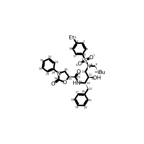 CCc1ccc(S(=O)(=O)N(C[C@@H](C)CC)C[C@@H](O)[C@H](Cc2ccccc2)NC(=O)[C@@H]2CN(c3ccccc3)C(=O)O2)cc1